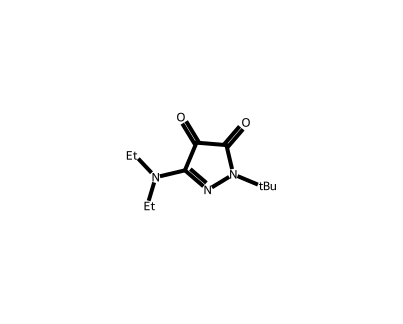 CCN(CC)C1=NN(C(C)(C)C)C(=O)C1=O